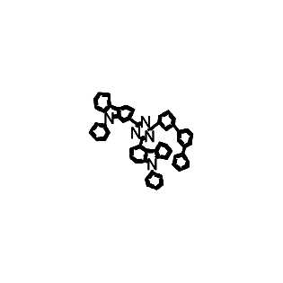 c1ccc(-c2cccc(-c3cccc(-c4nc(-c5ccc6c7ccccc7n(-c7ccccc7)c6c5)nc(-c5cccc6c5c5ccccc5n6-c5ccccc5)n4)c3)c2)cc1